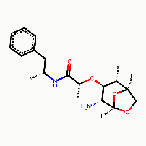 C[C@H]1[C@H](O[C@H](C)C(=O)N[C@H](C)Cc2ccccc2)[C@@H](N)[C@@H]2OC[C@H]1O2